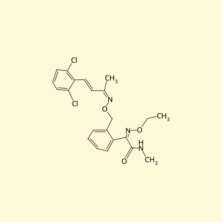 CCON=C(C(=O)NC)c1ccccc1CON=C(C)C=Cc1c(Cl)cccc1Cl